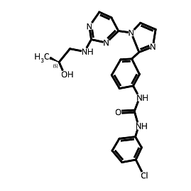 C[C@H](O)CNc1nccc(-n2ccnc2-c2cccc(NC(=O)Nc3cccc(Cl)c3)c2)n1